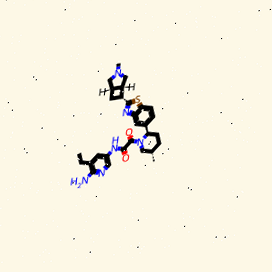 CCc1cc(NC(=O)C(=O)N2C[C@@H](C)CC[C@@H]2c2ccc3sc([C@@H]4C[C@H]5CN(C)C[C@H]54)nc3c2)cnc1N